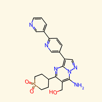 Nc1c(CO)c(C2CCS(=O)(=O)CC2)nc2c(-c3ccc(-c4cccnc4)nc3)cnn12